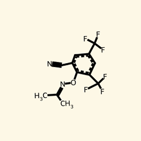 CC(C)=NOc1c(C#N)cc(C(F)(F)F)cc1C(F)(F)F